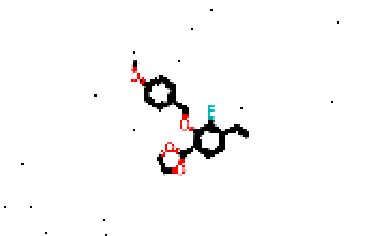 C=Cc1ccc(C2OCCO2)c(OCc2ccc(OC)cc2)c1F